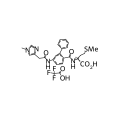 CSCC[C@H](NC(=O)c1ccc(NC(=O)Cc2cn(C)cn2)cc1-c1ccccc1)C(=O)O.O=C(O)C(F)(F)F